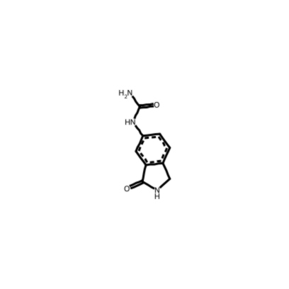 NC(=O)Nc1ccc2c(c1)C(=O)NC2